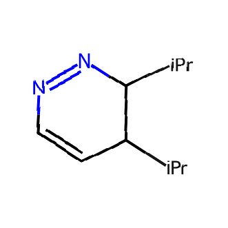 CC(C)C1C=CN=NC1C(C)C